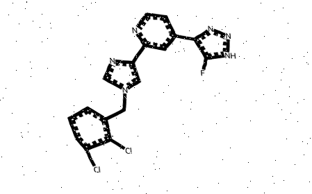 Fc1[nH]nnc1-c1ccnc(-c2cn(Cc3cccc(Cl)c3Cl)cn2)c1